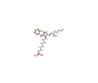 CCCCCC(O)/C=C/C1C=C(Sc2ccccc2)C(=O)/C1=C\CCCCCCCC(=O)O